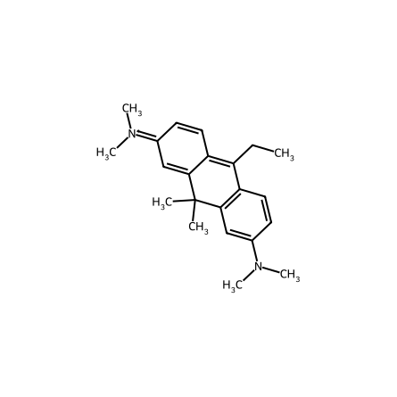 CCC1=C2C=CC(=[N+](C)C)C=C2C(C)(C)c2cc(N(C)C)ccc21